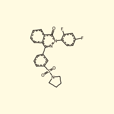 O=c1c2ccccc2c(-c2cccc(S(=O)(=O)N3CCCC3)c2)nn1-c1ccc(F)cc1F